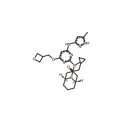 Cc1cc(Nc2cc(OCC3COC3)nc(N(C)C3C[C@H]4CCC[C@@H](C3)N4C(=O)CC3CC3)n2)n[nH]1